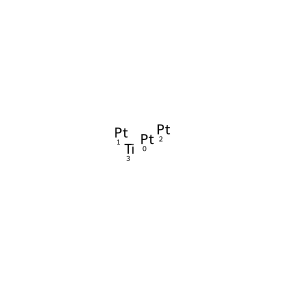 [Pt].[Pt].[Pt].[Ti]